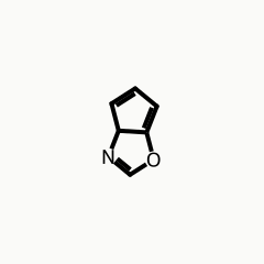 C1=CC2N=COC2=C1